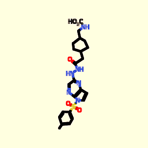 Cc1ccc(S(=O)(=O)n2ccc3nc(NNC(=O)CC4CCC(CNC(=O)O)CC4)cnc32)cc1